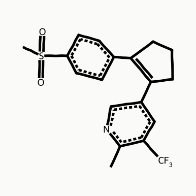 Cc1ncc(C2=C(c3ccc(S(C)(=O)=O)cc3)CCC2)cc1C(F)(F)F